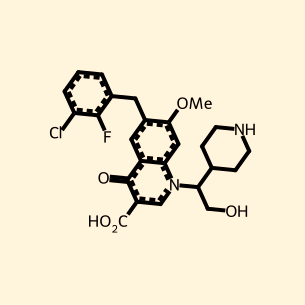 COc1cc2c(cc1Cc1cccc(Cl)c1F)c(=O)c(C(=O)O)cn2C(CO)C1CCNCC1